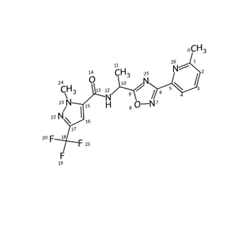 Cc1cccc(-c2noc(C(C)NC(=O)c3cc(C(F)(F)F)nn3C)n2)n1